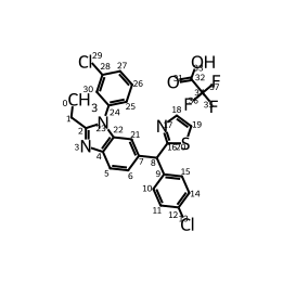 CCc1nc2ccc(C(c3ccc(Cl)cc3)c3nccs3)cc2n1-c1cccc(Cl)c1.O=C(O)C(F)(F)F